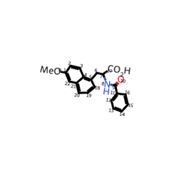 COc1ccc2c(CC(NC(=O)c3ccccc3)C(=O)O)cccc2c1